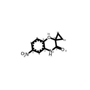 O=C1Nc2cc([N+](=O)[O-])ccc2OC12CC2